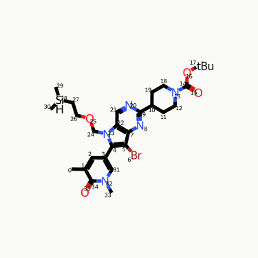 Cc1cc(-c2c(Br)c3nc(C4CCN(C(=O)OC(C)(C)C)CC4)ncc3n2COCC[SiH](C)C)cn(C)c1=O